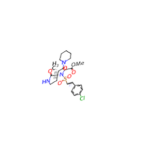 COC(=O)CN([C@]1([C@H](C)C(=O)N2CCCCC2)CCNC1=O)S(=O)(=O)/C=C/c1ccc(Cl)cc1